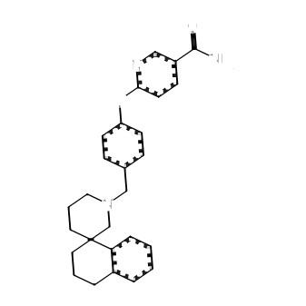 NC(=O)c1ccc(Oc2ccc(CN3CCCC4(CCCc5ccccc54)C3)cc2)nc1